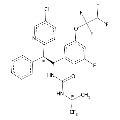 C[C@@H](NC(=O)NC(c1cc(F)cc(OC(F)(F)C(F)F)c1)[C@@H](c1ccccc1)c1ccc(Cl)cn1)C(F)(F)F